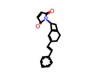 O=C1C=CC(=O)N1C1CC2=C1C=C(/C=C/c1ccccc1)CC2